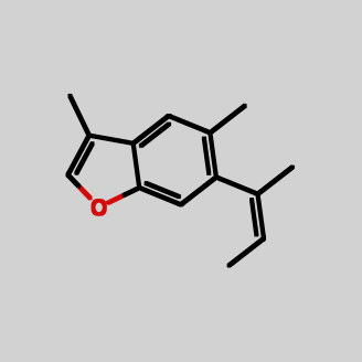 C/C=C(/C)c1cc2occ(C)c2cc1C